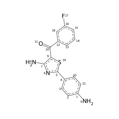 Nc1ccc(-c2nc(N)c(C(=O)c3cccc(F)c3)s2)cc1